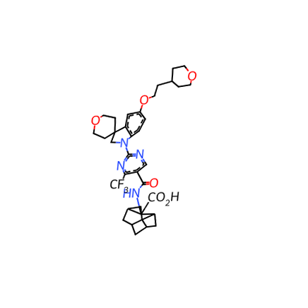 O=C(NC1(C(=O)O)C2CC3CC4CC1C34C2)c1cnc(N2CC3(CCOCC3)c3cc(OCCC4CCOCC4)ccc32)nc1C(F)(F)F